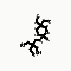 O=P1(OCC(CO)(CO)CBr)OCC(CBr)(CBr)CO1